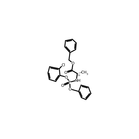 C[C@H](NP(=O)(Oc1ccccc1)Oc1ccccc1Cl)C(=O)OCc1ccccc1